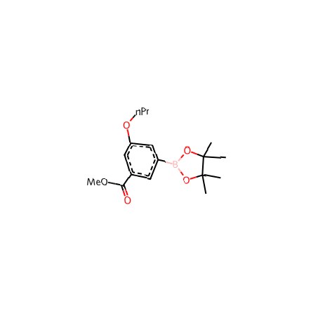 CCCOc1cc(B2OC(C)(C)C(C)(C)O2)cc(C(=O)OC)c1